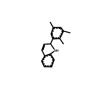 Cc1cc(C)c(C)c(C2C=Cc3ccccc3N2)c1